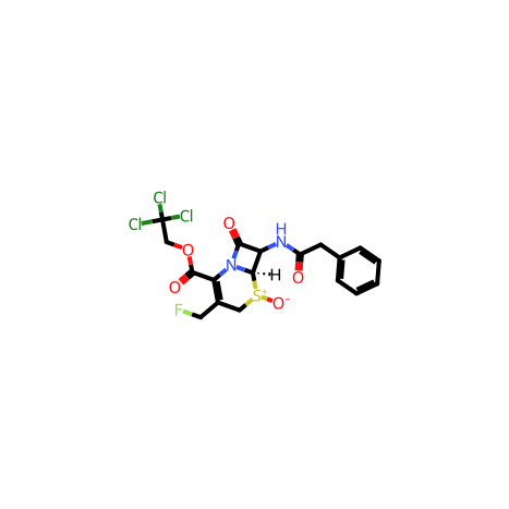 O=C(Cc1ccccc1)NC1C(=O)N2C(C(=O)OCC(Cl)(Cl)Cl)=C(CF)C[S+]([O-])[C@H]12